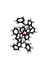 c1ccc(N(c2ccccc2)c2cccc3c4cccc5c6nc7c(cc6n(c23)c45)c2c3ccccc3cc3c4c5ccccc5cc(N(c5ccccc5)c5ccccc5)c4n7c32)cc1